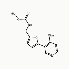 COc1ccncc1-c1ccc(CNC(=O)OC(C)(C)C)o1